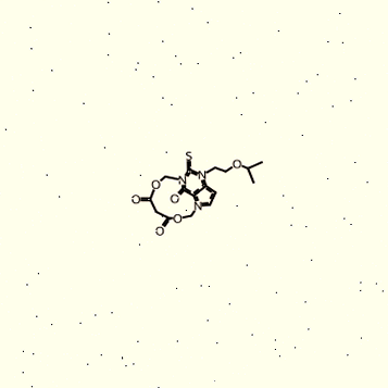 CC(C)OCCn1c(=S)n2c(=O)c3c1ccn3COC(=O)CC(=O)OC2